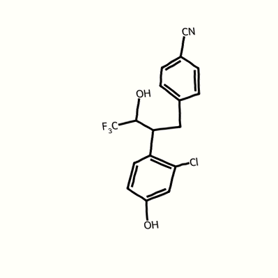 N#Cc1ccc(CC(c2ccc(O)cc2Cl)C(O)C(F)(F)F)cc1